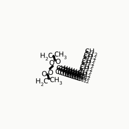 C=C.C=C.C=C.C=C.C=C.C=C.C=C.C=C.C=C.C=C.C=C.C=C.C=C.C=C.C=C(C)C(=O)OCCOC(=O)C(=C)C